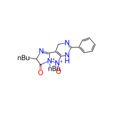 CCCCC1N=C2C3=C(NC(c4ccccc4)=NC3)[N+](=O)[N+]2(CCCC)C1=O